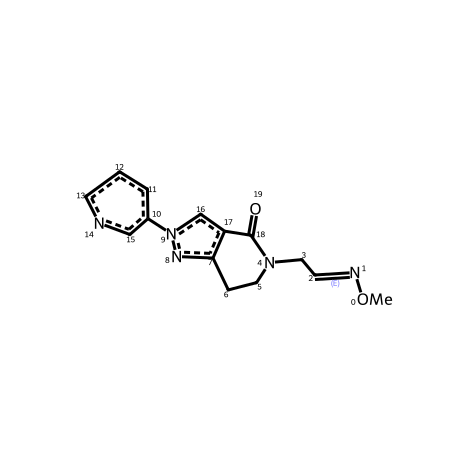 CO/N=C/CN1CCc2nn(-c3cccnc3)cc2C1=O